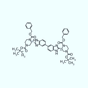 CC(C)(C)OC(=O)N1CCN(C(=O)OCc2ccccc2)[C@H](c2nc3cc(-c4ccc5[nH]c([C@@H]6CN(C(=O)OC(C)(C)C)CCN6C(=O)OCc6ccccc6)nc5c4)ccc3[nH]2)C1